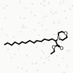 CCCCCCCCCCCCCCC(C(=O)OCC)N1CCOCC1